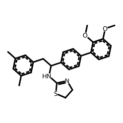 COc1cccc(-c2ccc(C(Cc3cc(C)cc(C)c3)NC3=NCCS3)cc2)c1OC